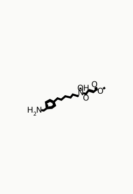 COC(=O)/C=C/C(=O)N(O)CCCCCCc1ccc(CN)cc1